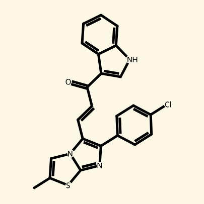 Cc1cn2c(C=CC(=O)c3c[nH]c4ccccc34)c(-c3ccc(Cl)cc3)nc2s1